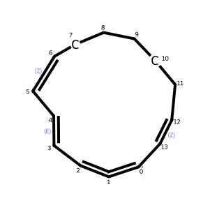 [C]1=C=C/C=C/C=C\CCCCC/C=C\1